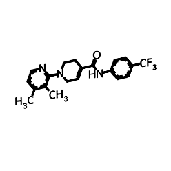 Cc1ccnc(N2CC=C(C(=O)Nc3ccc(C(F)(F)F)cc3)CC2)c1C